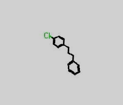 Clc1ccc(CCCc2ccccc2)cc1